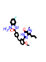 CCCc1nn(C)c2c(=O)[nH]c(-c3cc(Cc4ccc(C(=O)Nc5cc(F)ccc5N)cc4)ccc3OCC)nc12